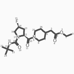 CCOC(=O)CC1CCN(C(=O)[C@@H]2C[C@H](F)CN2C(=O)OC(C)(C)C)CC1